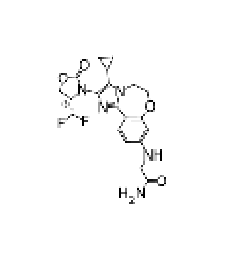 NC(=O)CNc1ccc2c(c1)OCCn1c-2nc(N2C(=O)OC[C@H]2C(F)F)c1C1CC1